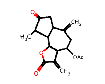 C=C1CC(OC(C)=O)C2C(=C)C(=O)OC2C2C(C)C(=O)CC12